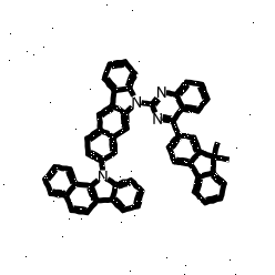 CC1(C)c2ccccc2-c2ccc(-c3nc(-n4c5ccccc5c5cc6ccc(-n7c8ccccc8c8ccc9ccccc9c87)cc6cc54)nc4ccccc34)cc21